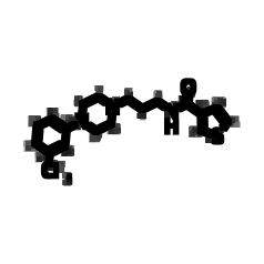 O=C(NCCCN1CCN(c2cccc(C(F)(F)F)c2)CC1)c1ccsc1